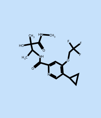 CNC(=O)C(C)(O)C(C)NC(=O)c1cc(OCC(F)(F)F)c(C2CC2)cn1